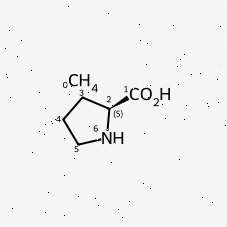 C.O=C(O)[C@@H]1CCCN1